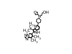 Cc1c(-c2[nH]c3ccc(C4CCC(N(CCO)C5COC5)CC4)nc3c2C(C)C)cn2ncnc2c1C